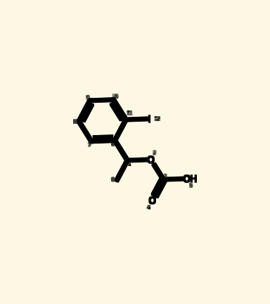 CC(OC(=O)O)c1ccccc1I